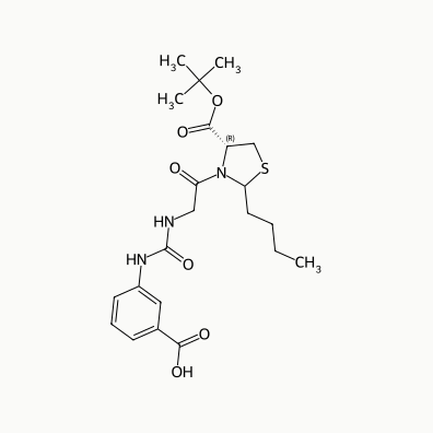 CCCCC1SC[C@@H](C(=O)OC(C)(C)C)N1C(=O)CNC(=O)Nc1cccc(C(=O)O)c1